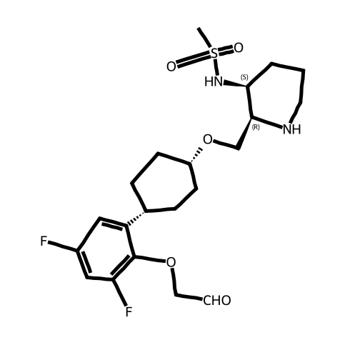 CS(=O)(=O)N[C@H]1CCCN[C@H]1CO[C@H]1CC[C@@H](c2cc(F)cc(F)c2OCC=O)CC1